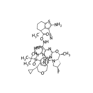 C[C@H](Oc1nc(C(=N)NOC(=O)[C@@]2(C)CCCc3sc(N)c(C#N)c32)nc(N2CCOC[C@@](O[Si](c3ccccc3)(c3ccccc3)C(C)(C)C)(C3CC3)C2)n1)[C@@H]1C[C@@H](F)CN1C